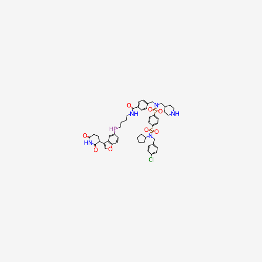 O=C1CCC(c2coc3ccc(PCCCCNC(=O)c4ccc(CN(CC5CCNCC5)S(=O)(=O)c5ccc(S(=O)(=O)N(Cc6ccc(Cl)cc6)C6CCCC6)cc5)cc4)cc23)C(=O)N1